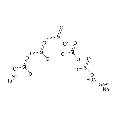 O=[Si]([O-])[O-].O=[Si]([O-])[O-].O=[Si]([O-])[O-].O=[Si]([O-])[O-].O=[Si]([O-])[O-].[CaH2].[Ga+3].[Nb].[Sr+2].[Ta+5]